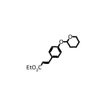 CCOC(=O)/C=C/c1ccc(OC2CCCCO2)cc1